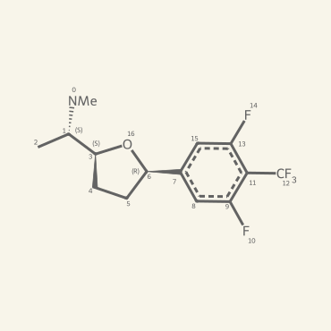 CN[C@@H](C)[C@@H]1CC[C@H](c2cc(F)c(C(F)(F)F)c(F)c2)O1